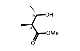 COC(=O)[C@@H](C)[C@H](C)O